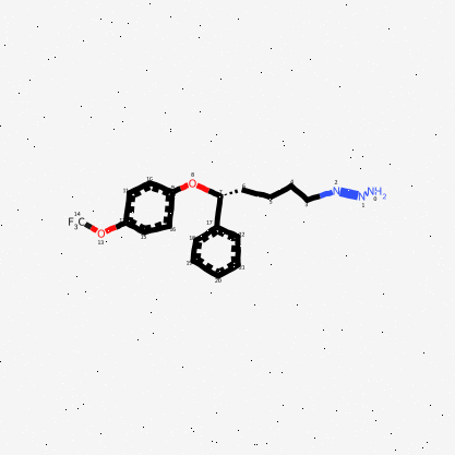 NN=NCCCC[C@@H](Oc1ccc(OC(F)(F)F)cc1)c1ccccc1